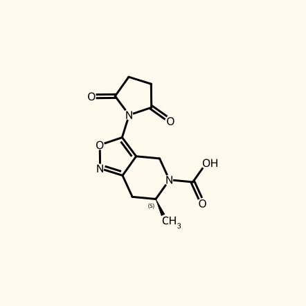 C[C@H]1Cc2noc(N3C(=O)CCC3=O)c2CN1C(=O)O